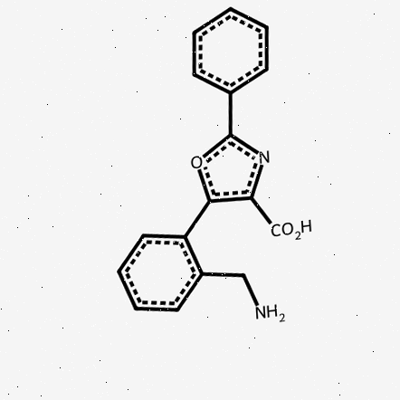 NCc1ccccc1-c1oc(-c2ccccc2)nc1C(=O)O